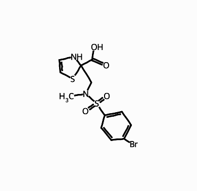 CN(CC1(C(=O)O)NC=CS1)S(=O)(=O)c1ccc(Br)cc1